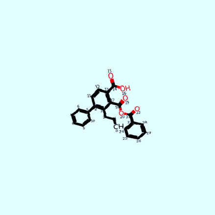 CCCc1c(-c2ccccc2)ccc(C(=O)O)c1C(=O)OC(=O)c1ccccc1